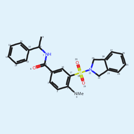 CNc1ccc(C(=O)NC(C)c2ccccc2)cc1S(=O)(=O)N1Cc2ccccc2C1